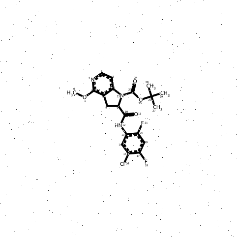 COc1nccc2c1CC(C(=O)Nc1cc(Cl)c(F)cc1F)N2C(=O)OC(C)(C)C